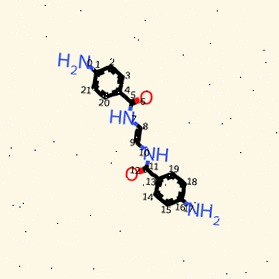 Nc1ccc(C(=O)NC=CNC(=O)c2ccc(N)cc2)cc1